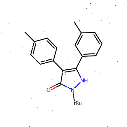 Cc1ccc(-c2c(-c3cccc(C)c3)[nH]n(C(C)(C)C)c2=O)cc1